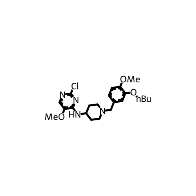 CCCCOc1cc(CN2CCC(Nc3nc(Cl)ncc3OC)CC2)ccc1OC